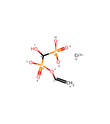 C=COP(=O)([O-])C(O)P(=O)([O-])[O-].[Cr+3]